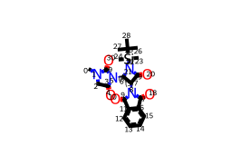 CN1CC(=O)N([C@H]2[C@H](N3C(=O)c4ccccc4C3=O)C(=O)N2[Si](C)(C)C(C)(C)C)C1=O